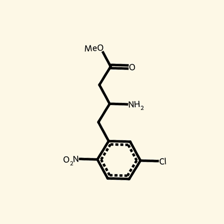 COC(=O)CC(N)Cc1cc(Cl)ccc1[N+](=O)[O-]